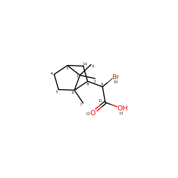 CC1(C)C2CCC1(C)C(C(Br)C(=O)O)C2